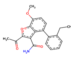 CCc1ccccc1-c1ccc(OC)c2oc(C(C)=O)c(C(N)=O)c12